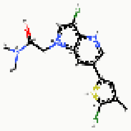 Cc1cc(-c2cnc3c(Cl)cn(CC(=O)N(C)C)c3c2)sc1Cl